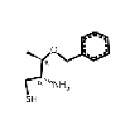 C[C@@H](OCc1ccccc1)[C@H](N)CS